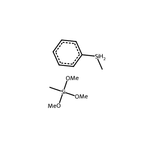 CO[Si](C)(OC)OC.C[SiH2]c1ccccc1